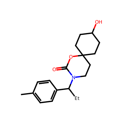 CCC(c1ccc(C)cc1)N1CCC2(CCC(O)CC2)OC1=O